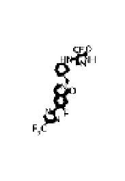 O=c1[nH]ncc(N[C@@H]2CCC[C@H](Cn3ccc4cc(-c5ncc(C(F)(F)F)cn5)c(F)cc4c3=O)C2)c1C(F)(F)F